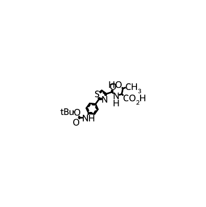 CC(O)C(NC(=O)c1csc(-c2ccc(NC(=O)OC(C)(C)C)cc2)n1)C(=O)O